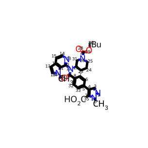 Cn1ncc(-c2ccc(C(=O)N(c3nccc4ccn(C)c34)[C@@H]3CCCN(C(=O)OC(C)(C)C)C3)cc2)c1C(=O)O